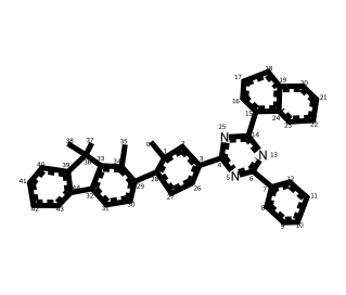 Cc1cc(-c2nc(-c3ccccc3)nc(-c3cccc4ccccc34)n2)ccc1-c1ccc2c(c1C)C(C)(C)c1ccccc1-2